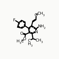 CO/C=C/c1c(N)nc(C(C)C)c(C(=O)OC)c1-c1ccc(F)cc1